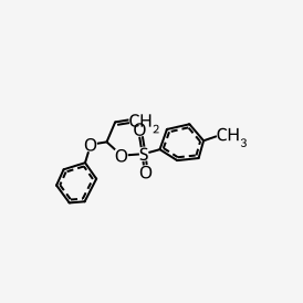 C=CC(Oc1ccccc1)OS(=O)(=O)c1ccc(C)cc1